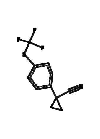 N#CC1(c2ccc(SC(F)(F)F)cc2)CC1